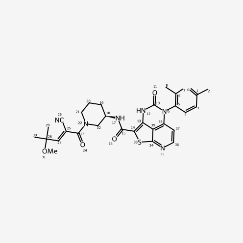 C=C(C)/C=C\C(=C(C)C)N1C(=O)Nc2c(C(=O)N[C@@H]3CCCN(C(=O)/C(C#N)=C/C(C)(C)OC)C3)sc3nccc1c23